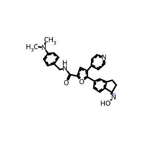 CN(C)c1ccc(CNC(=O)c2cc(-c3ccncc3)c(-c3ccc4c(c3)CC/C4=N/O)o2)cc1